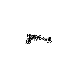 C[C@H](CC(=O)OC(C)(C)C)[C@H]1CC[C@@H]2[C@]1(C)[C@@H](O)C[C@@H]1[C@@]3(C)CC[C@@H](OC(=O)CCC(=O)OCCOCCOCCOC(=O)c4c5ccccc5cc5ccccc45)C[C@H]3C[C@@H](O)[C@@]21C